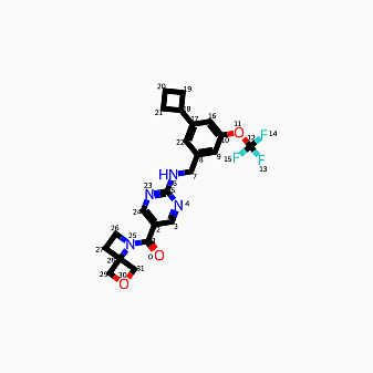 O=C(c1cnc(NCc2cc(OC(F)(F)F)cc(C3CCC3)c2)nc1)N1CCC12COC2